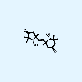 CC1(C)CC(=O)CC(C)(CCC2(C)CC(=O)C(C)(C)N2O)N1O